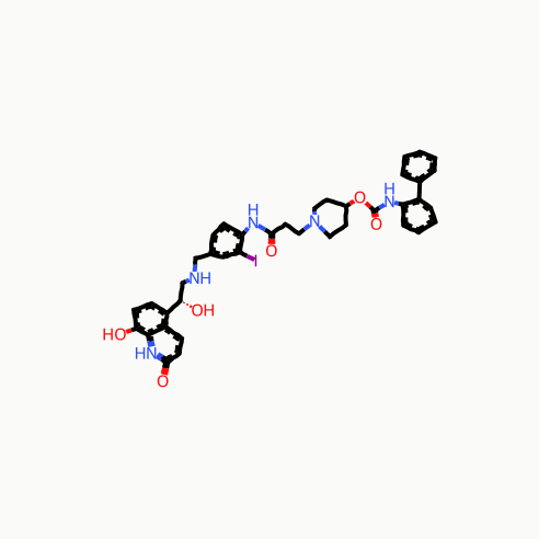 O=C(CCN1CCC(OC(=O)Nc2ccccc2-c2ccccc2)CC1)Nc1ccc(CNC[C@H](O)c2ccc(O)c3[nH]c(=O)ccc23)cc1I